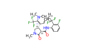 C=C/C(=C(\N(C)C)C(F)(F)F)[C@H]1CN(C)C(=O)[C@@H]1C(=O)Nc1cccc(F)c1C(C)(F)F